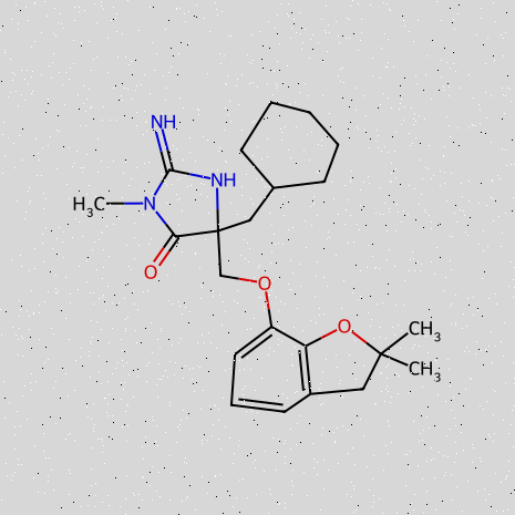 CN1C(=N)NC(COc2cccc3c2OC(C)(C)C3)(CC2CCCCC2)C1=O